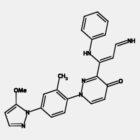 COc1ccnn1-c1ccc(-n2ccc(=O)c(/C(=C/C=N)Nc3ccccc3)n2)c(C)c1